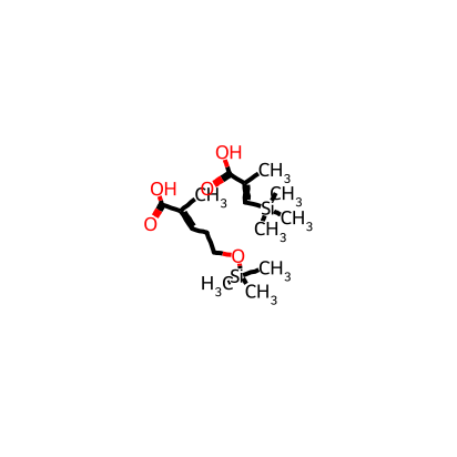 C/C(=C\CCO[Si](C)(C)C)C(=O)O.C/C(=C\[Si](C)(C)C)C(=O)O